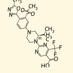 Cc1nnc(-c2ccc(N3CCN(c4ncc(C(=O)O)c(C(F)(F)F)n4)[C@H](C(C)C)C3)cc2S(C)(=O)=O)o1